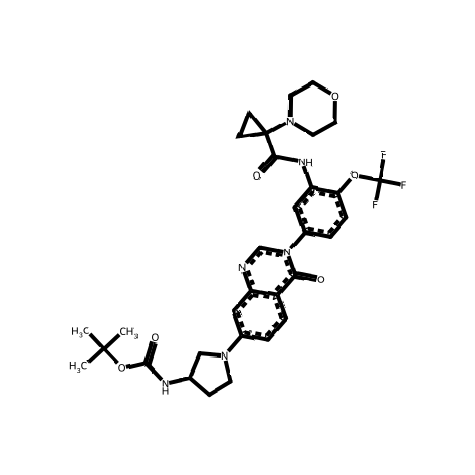 CC(C)(C)OC(=O)NC1CCN(c2ccc3c(=O)n(-c4ccc(OC(F)(F)F)c(NC(=O)C5(N6CCOCC6)CC5)c4)cnc3c2)C1